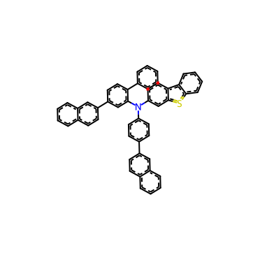 c1ccc(-c2ccc(-c3ccc4ccccc4c3)cc2N(c2ccc(-c3ccc4ccccc4c3)cc2)c2ccc3c(c2)sc2ccccc23)cc1